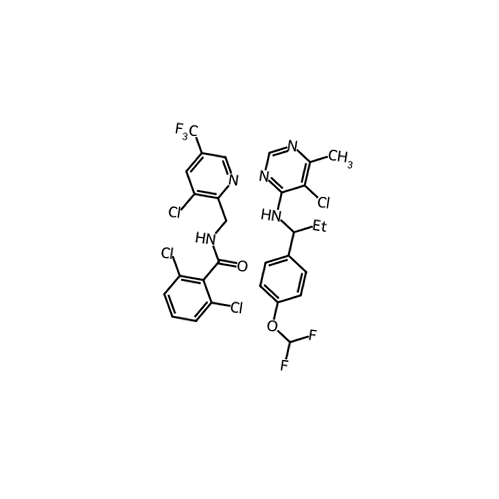 CCC(Nc1ncnc(C)c1Cl)c1ccc(OC(F)F)cc1.O=C(NCc1ncc(C(F)(F)F)cc1Cl)c1c(Cl)cccc1Cl